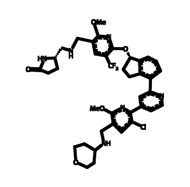 COc1nc(O[C@H]2CCc3c(-c4cc(-c5nc(OC)c(CNC6CCOCC6)cc5Cl)ccn4)cccc32)c(C(F)(F)F)cc1CNC[C@@H]1CCC(=O)N1